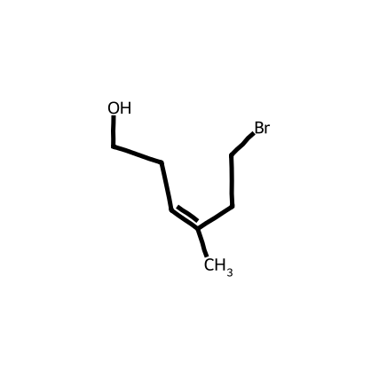 CC(=CCCO)CCBr